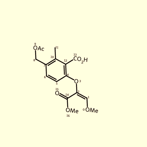 COC=C(Oc1ccc(COC(C)=O)c(C)c1C(=O)O)C(=O)OC